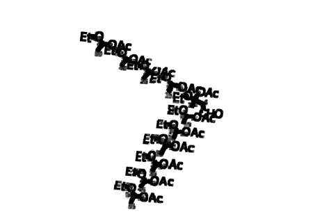 CCOC(C)(CC=O)OC(C)=O.CCOC(C)OC(C)=O.CCOC(C)OC(C)=O.CCOC(C)OC(C)=O.CCOC(C)OC(C)=O.CCOC(C)OC(C)=O.CCOC(C)OC(C)=O.CCOC(C)OC(C)=O.CCOC(C)OC(C)=O.CCOC(C)OC(C)=O.CCOC(C)OC(C)=O